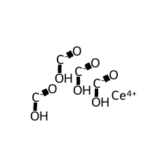 O=[C-]O.O=[C-]O.O=[C-]O.O=[C-]O.[Ce+4]